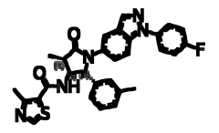 Cc1cccc([C@@H]2[C@@H](NC(=O)c3scnc3C)[C@@H](C)C(=O)N2c2ccc3c(cnn3-c3ccc(F)cc3)c2)c1